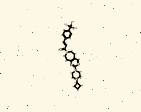 O=C(/C=C/c1ccc(C(F)(F)F)cc1)N1CCc2cnc(N3CCN(C4CCC4)CC3)nc2CC1